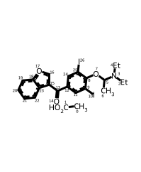 CC(=O)O.CCN(CC)C(C)Oc1c(I)cc(C(=O)c2coc3ccccc23)cc1I